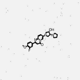 COc1ccc(-c2cc(=O)n3cc(N4C[C@H](O)[C@@H](N5CCCC5)C4)ccc3n2)cc1F